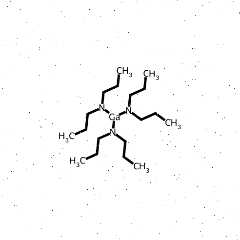 CCC[N](CCC)[Ga]([N](CCC)CCC)[N](CCC)CCC